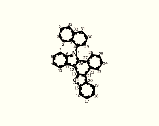 c1ccc2c(-n3c4ccccc4c4c5sc6ccccc6c5c5ccccc5c43)cccc2c1